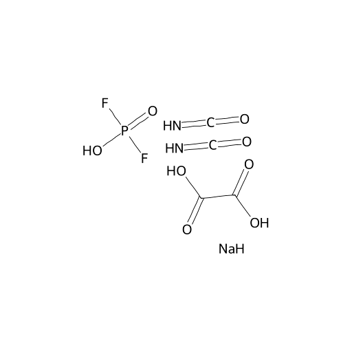 N=C=O.N=C=O.O=C(O)C(=O)O.O=P(O)(F)F.[NaH]